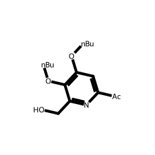 CCCCOc1cc(C(C)=O)nc(CO)c1OCCCC